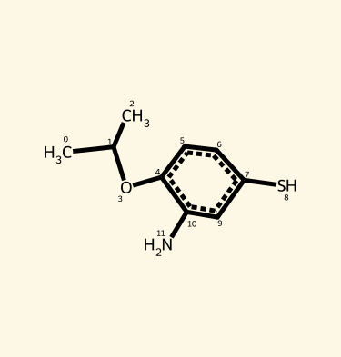 CC(C)Oc1ccc(S)cc1N